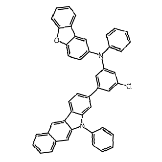 Clc1cc(-c2ccc3c4cc5ccccc5cc4n(-c4ccccc4)c3c2)cc(N(c2ccccc2)c2ccc3oc4ccccc4c3c2)c1